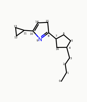 CCCCC1CCC(C2=NC(C3CC3)=CC2)C1